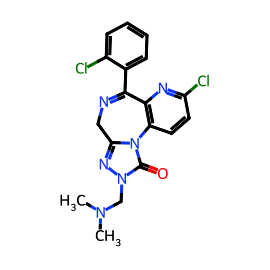 CN(C)Cn1nc2n(c1=O)-c1ccc(Cl)nc1C(c1ccccc1Cl)=NC2